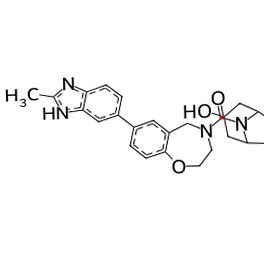 Cc1nc2ccc(-c3ccc4c(c3)CN(C(=O)N3C5CCC3CC(O)C5)CCO4)cc2[nH]1